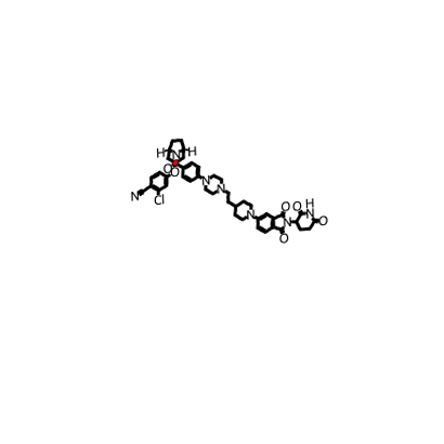 N#Cc1ccc(OC2C[C@H]3CC[C@@H](C2)N3C(=O)c2ccc(N3CCN(CCC4CCN(c5ccc6c(c5)C(=O)N(C5CCC(=O)NC5=O)C6=O)CC4)CC3)cc2)cc1Cl